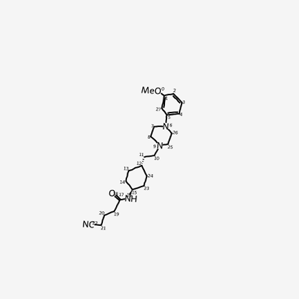 COc1cccc(N2CCN(CC[C@H]3CC[C@H](NC(=O)CCCC#N)CC3)CC2)c1